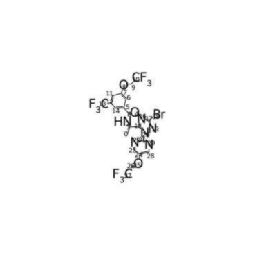 CC(NC(=O)c1cc(OCC(F)(F)F)cc(C(F)(F)F)c1)c1nc(Br)nn1-c1ncc(OCC(F)(F)F)cn1